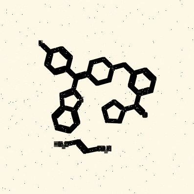 O=C(O)C=CC(=O)O.O=C(c1cccc(CN2CCC(=C(c3ccc(F)cc3)c3cc4ccccc4s3)CC2)c1)N1CCCC1